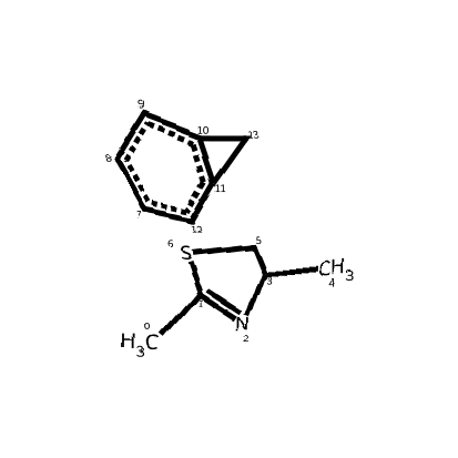 CC1=NC(C)CS1.c1ccc2c(c1)C2